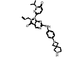 C=CCn1c(=O)c2cnc(Nc3ccc(N4CC5(CCNC5)C4)cc3)nc2n1-c1ccc(=O)n(C(C)C)n1